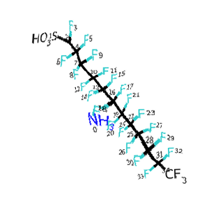 N.O=S(=O)(O)C(F)C(F)(F)C(F)(F)C(F)(F)C(F)(F)C(F)(F)C(F)(F)C(F)(F)C(F)(F)C(F)(F)C(F)(F)C(F)(F)F